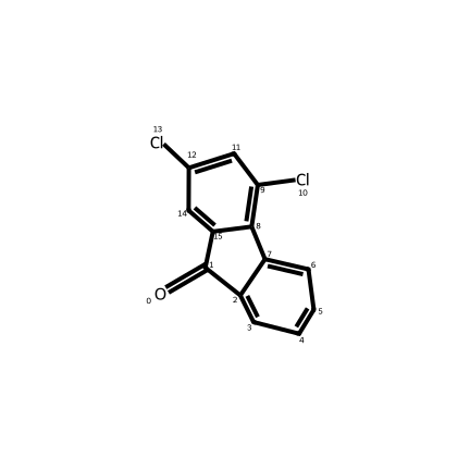 O=C1c2ccccc2-c2c(Cl)cc(Cl)cc21